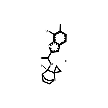 Cc1ccc2cc(C(=O)N[C@@H]3C4CCN(CC4)C34CC4)sc2c1C(F)(F)F.Cl